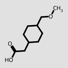 COCC1CCC(CC(=O)O)CC1